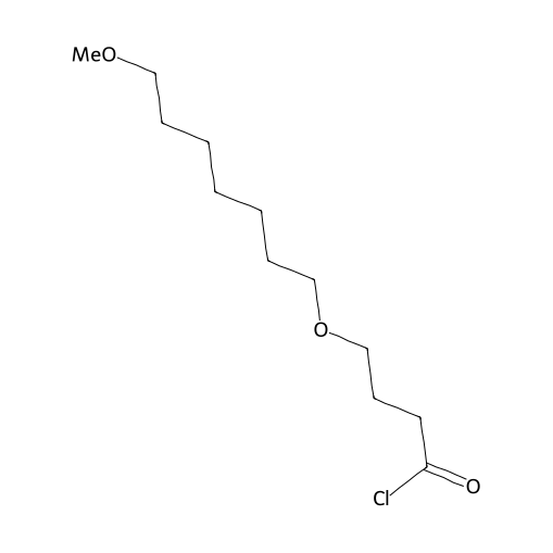 COCCCCCCCOCCCC(=O)Cl